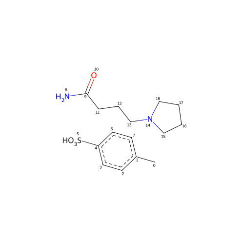 Cc1ccc(S(=O)(=O)O)cc1.NC(=O)CCCN1CCCC1